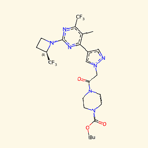 Cc1c(-c2cnn(CC(=O)N3CCN(C(=O)OC(C)(C)C)CC3)c2)nc(N2CC[C@@H]2C(F)(F)F)nc1C(F)(F)F